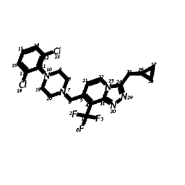 FC(F)(F)c1c(CN2CCN(c3c(Cl)cccc3Cl)CC2)ccn2c(CC3CC3)nnc12